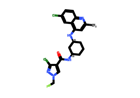 O=C(N[C@@H]1CCC[C@H](Nc2cc(C(F)(F)F)nc3ccc(Cl)cc23)C1)c1cn(CF)nc1Cl